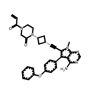 C=CC(=O)N1CCN([C@H]2C[C@@H](C#Cc3c(-c4ccc(Oc5ccccc5)cc4)c4c(N)ncnc4n3C)C2)C(=O)C1